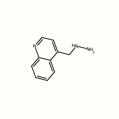 NNCc1ccnc2ccccc12